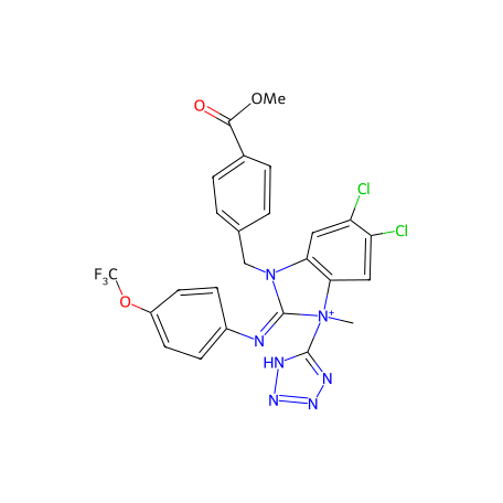 COC(=O)c1ccc(CN2C(=Nc3ccc(OC(F)(F)F)cc3)[N+](C)(c3nnn[nH]3)c3cc(Cl)c(Cl)cc32)cc1